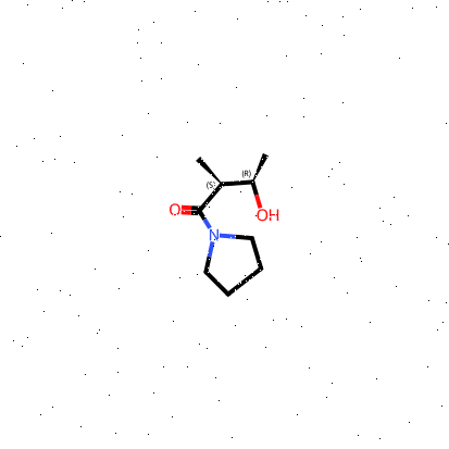 C[C@H](C(=O)N1CCCC1)[C@@H](C)O